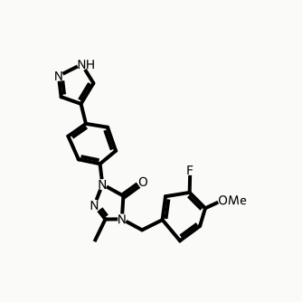 COc1ccc(Cn2c(C)nn(-c3ccc(-c4cn[nH]c4)cc3)c2=O)cc1F